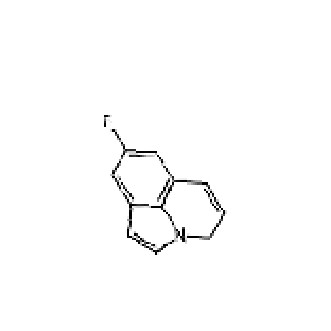 Fc1cc2c3c(ccn3CC=C2)c1